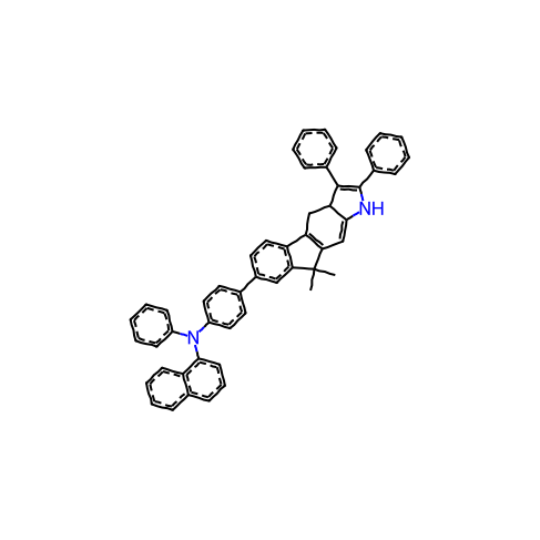 CC1(C)C2=C(CC3C(=C2)NC(c2ccccc2)=C3c2ccccc2)c2ccc(-c3ccc(N(c4ccccc4)c4cccc5ccccc45)cc3)cc21